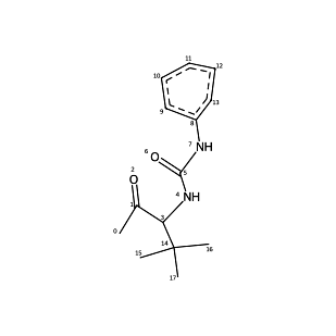 CC(=O)C(NC(=O)Nc1ccccc1)C(C)(C)C